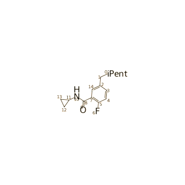 CCCC(C)Cc1ccc(F)c(C(=O)NC2CC2)c1